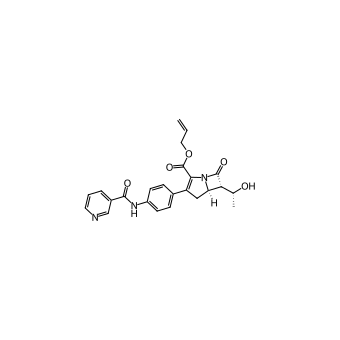 C=CCOC(=O)C1=C(c2ccc(NC(=O)c3cccnc3)cc2)C[C@@H]2[C@@H]([C@@H](C)O)C(=O)N12